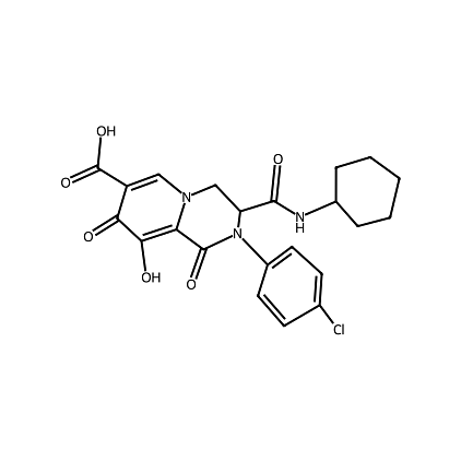 O=C(O)c1cn2c(c(O)c1=O)C(=O)N(c1ccc(Cl)cc1)C(C(=O)NC1CCCCC1)C2